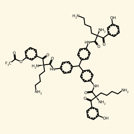 NCCCC[C@@](N)(C(=O)Nc1ccc(C(c2ccc(NC(=O)[C@](N)(CCCCN)C(=O)c3cccc(O)c3)cc2)c2ccc(NC(=O)[C@](N)(CCCCN)C(=O)c3cccc(OC(=O)C(F)(F)F)c3)cc2)cc1)C(=O)c1cccc(O)c1